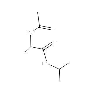 CC(=O)NC(C)C(=O)NC(C)C